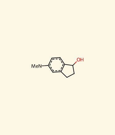 CNc1ccc2c(c1)CCC2O